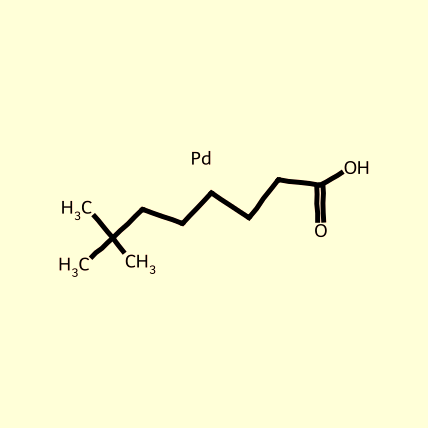 CC(C)(C)CCCCCC(=O)O.[Pd]